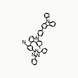 CC1C=c2c(n(-c3ccc(-c4ccc5c(c4)c4ccccc4n5-c4ccccc4)cc3)c3cccc(-c4cc(-c5nc(-c6ccccc6)nc(-c6ccccc6)n5)ccc4C#N)c23)=CC1